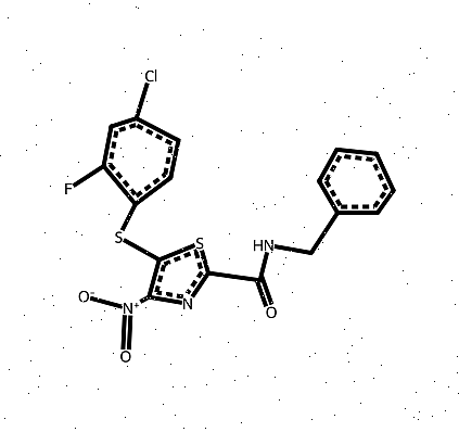 O=C(NCc1ccccc1)c1nc([N+](=O)[O-])c(Sc2ccc(Cl)cc2F)s1